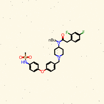 CCCCN(C(=O)Cc1ccc(F)cc1F)C1CCN(Cc2ccc(Oc3ccc(NS(C)(=O)=O)cc3)cc2)CC1